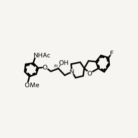 COc1ccc(NC(C)=O)c(OC[C@H](O)CN2CCC3(CC2)Cc2cc(F)ccc2O3)c1